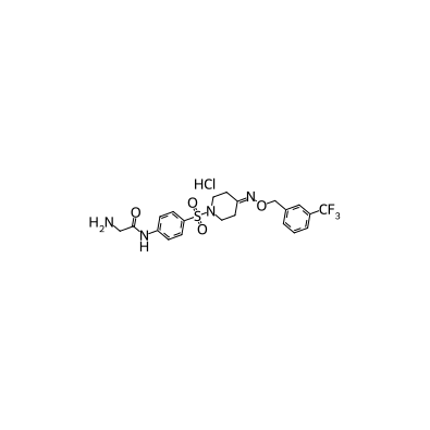 Cl.NCC(=O)Nc1ccc(S(=O)(=O)N2CCC(=NOCc3cccc(C(F)(F)F)c3)CC2)cc1